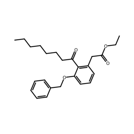 CCCCCCCC(=O)c1c(CC(=O)OCC)cccc1OCc1ccccc1